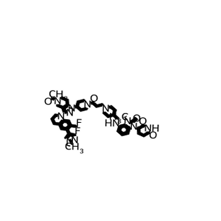 CC(=O)N1CCc2c(c(N3CCCc4cc(-c5cnn(C)c5)c(C(F)F)cc43)nn2C2CCN(C(=O)CCN3CCC(CNc4cccc5c4n(C)c(=O)n5C4CCC(=O)NC4=O)CC3)CC2)C1